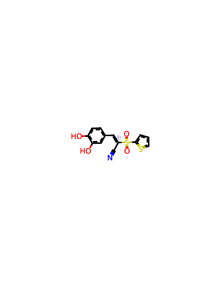 N#C/C(=C\c1ccc(O)c(O)c1)S(=O)(=O)c1cccs1